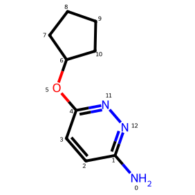 Nc1ccc(OC2CCCC2)nn1